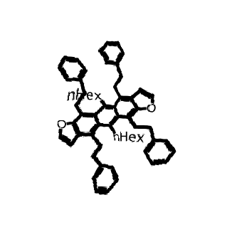 CCCCCCc1c2c(CCc3ccccc3)c3ccoc3c(CCc3ccccc3)c2c(CCCCCC)c2c(CCc3ccccc3)c3ccoc3c(CCc3ccccc3)c12